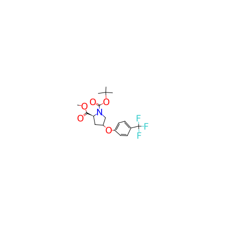 COC(=O)[C@@H]1CC(Oc2ccc(C(F)(F)F)cc2)CN1C(=O)OC(C)(C)C